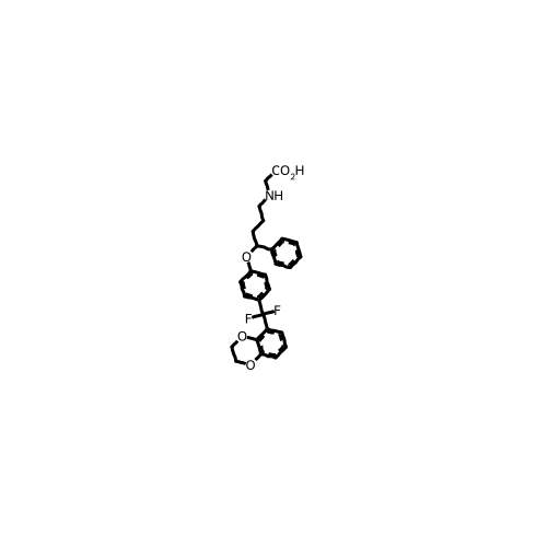 O=C(O)CNCCCC(Oc1ccc(C(F)(F)c2cccc3c2OCCO3)cc1)c1ccccc1